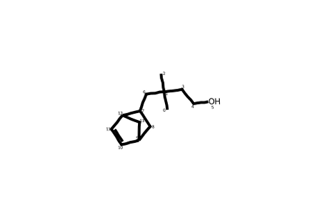 CC(C)(CCO)CC1CC2C=CC1C2